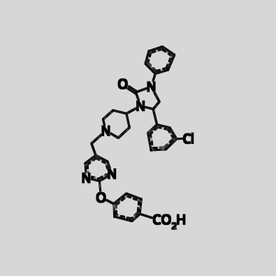 O=C(O)c1ccc(Oc2ncc(CN3CCC(N4C(=O)N(c5ccccc5)CC4c4cccc(Cl)c4)CC3)cn2)cc1